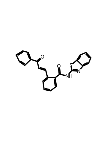 O=C(C=Cc1ccccc1C(=O)Nc1nc2ccccc2s1)c1ccccc1